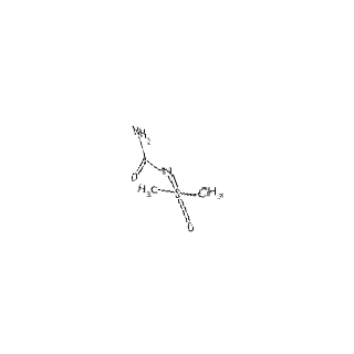 CS(C)(=O)=NC(N)=O